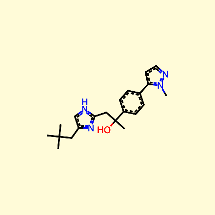 Cn1nccc1-c1ccc(C(C)(O)Cc2nc(CC(C)(C)C)c[nH]2)cc1